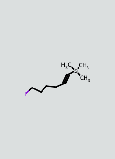 C[Si](C)(C)C#CCCCCI